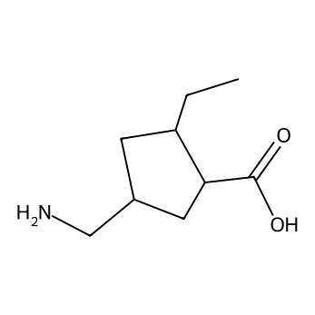 CCC1CC(CN)CC1C(=O)O